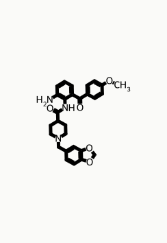 COc1ccc(C(=O)c2cccc(N)c2NC(=O)C2CCN(Cc3ccc4c(c3)OCO4)CC2)cc1